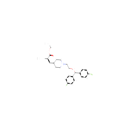 CCOC(=O)C(C)=CC1CCN(CCOC(c2ccc(F)cc2)c2ccc(F)cc2)CC1